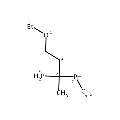 CCOCCC(C)(P)PC